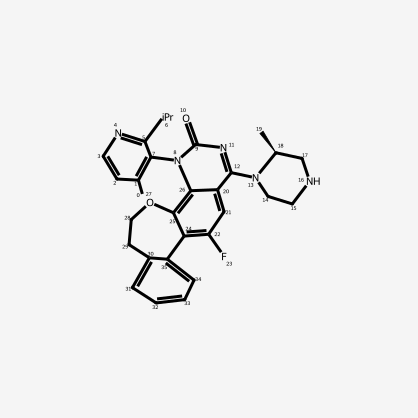 Cc1ccnc(C(C)C)c1-n1c(=O)nc(N2CCNC[C@@H]2C)c2cc(F)c3c(c21)OCCc1ccccc1-3